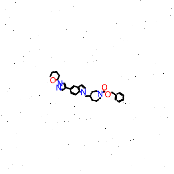 O=C(OCc1ccccc1)N1CCCC(Cn2ccc3cc(-c4cnn(C5CCCCO5)c4)ccc32)CC1